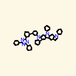 c1ccc(-c2nc(-c3ccccc3)nc(-c3cccc(-c4cccc(-n5c6ccccc6c6cc7c8cc9ccn(-c%10ccccc%10)c9cc8n(-c8ccccc8)c7cc65)c4)c3)n2)cc1